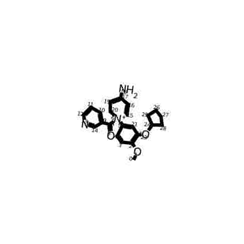 COc1ccc([N+]2(C(=O)c3cccnc3)C=CC(N)=CC2)cc1OC1CCCC1